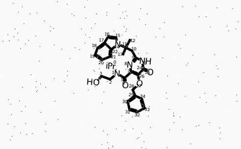 CC(C)N(CCO)C(=O)c1nc(CC(C)(C)n2ccc3ccccc32)[nH]c(=O)c1OCc1ccccc1